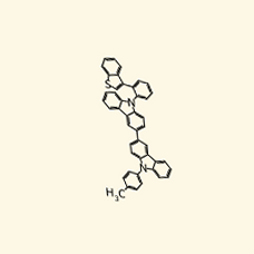 Cc1ccc(-n2c3ccccc3c3cc(-c4ccc5c(c4)c4ccccc4n5-c4ccccc4-c4csc5ccccc45)ccc32)cc1